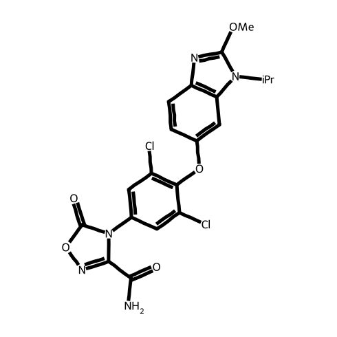 COc1nc2ccc(Oc3c(Cl)cc(-n4c(C(N)=O)noc4=O)cc3Cl)cc2n1C(C)C